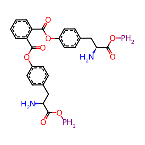 N[C@@H](Cc1ccc(OC(=O)c2ccccc2C(=O)Oc2ccc(C[C@H](N)C(=O)OP)cc2)cc1)C(=O)OP